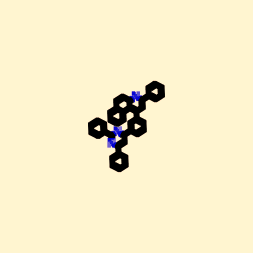 c1ccc(-c2cc(-c3cccc(-c4cc(-c5ccccc5)nc5ccc6ccccc6c45)c3)nc(-c3ccccc3)n2)cc1